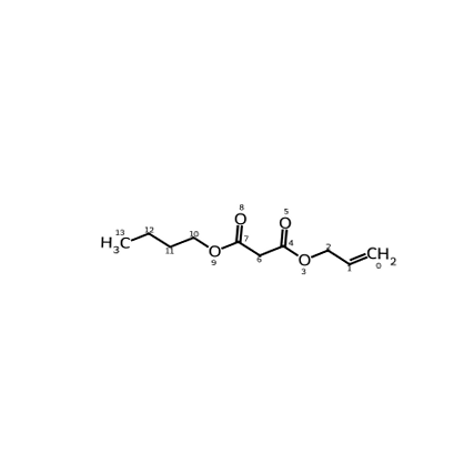 C=CCOC(=O)CC(=O)OCCCC